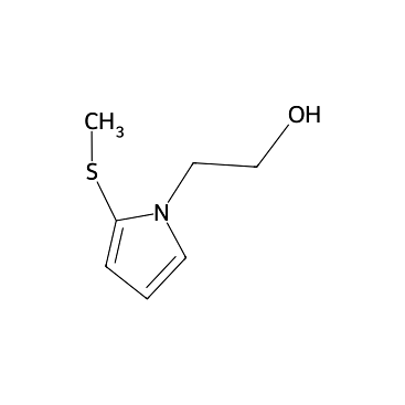 CSc1cccn1CCO